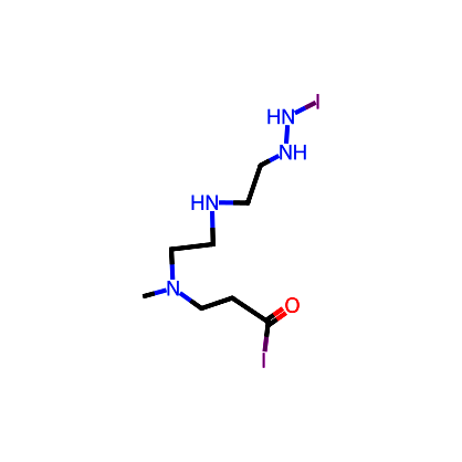 CN(CCNCCNNI)CCC(=O)I